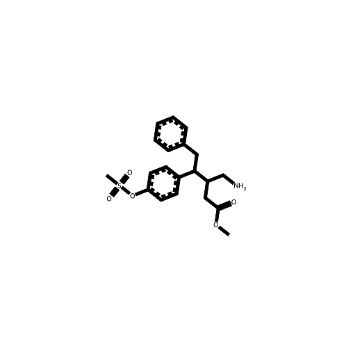 COC(=O)CC(CN)C(Cc1ccccc1)c1ccc(OS(C)(=O)=O)cc1